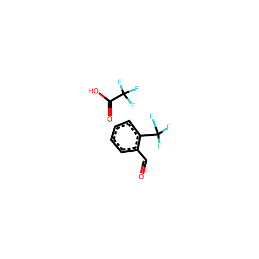 O=C(O)C(F)(F)F.O=Cc1ccccc1C(F)(F)F